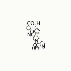 CCCC1C(C(=O)N2CCC(C#N)(c3ccccc3OC3CCC(C(=O)O)C3)CC2)CCCN1C